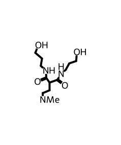 CNCCC(C(=O)NCCCO)C(=O)NCCCO